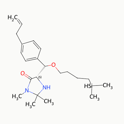 C=CCc1ccc(C(OCCCC[SiH](C)C)[C@@H]2NC(C)(C)N(C)C2=O)cc1